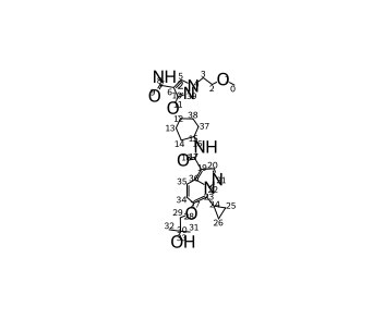 COCCn1cc(C(N)=O)c(O[C@H]2CC[C@H](NC(=O)c3cnn4c(C5CC5)c(OCC(C)(C)O)ccc34)CC2)n1